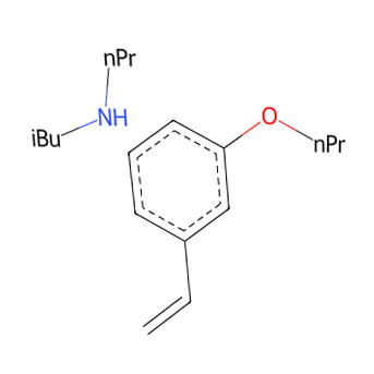 C=Cc1cccc(OCCC)c1.CCCNC(C)CC